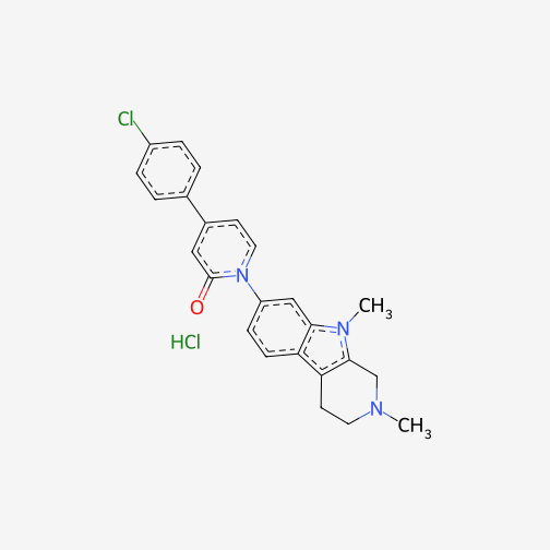 CN1CCc2c(n(C)c3cc(-n4ccc(-c5ccc(Cl)cc5)cc4=O)ccc23)C1.Cl